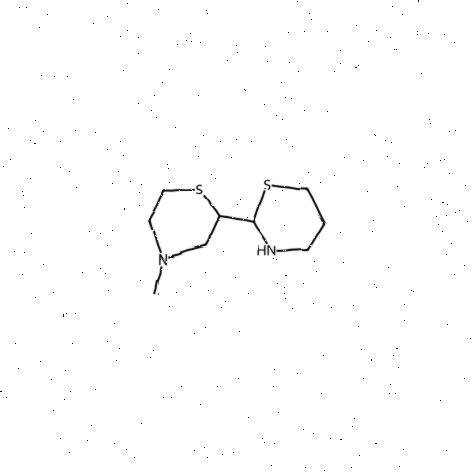 [CH2]N1CCSC(C2NCCCS2)C1